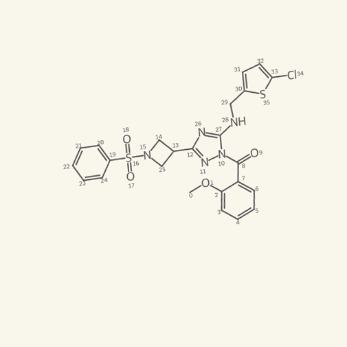 COc1ccccc1C(=O)n1nc(C2CN(S(=O)(=O)c3ccccc3)C2)nc1NCc1ccc(Cl)s1